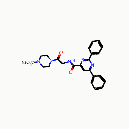 CCOC(=O)N1CCN(C(=O)CNC(=O)c2cc(-c3ccccc3)nc(-c3ccccc3)n2)CC1